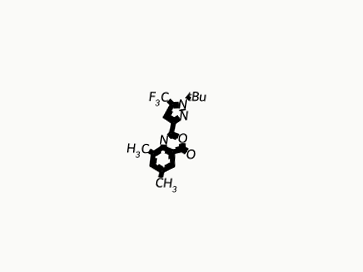 Cc1cc(C)c2nc(-c3cc(C(F)(F)F)n(C(C)(C)C)n3)oc(=O)c2c1